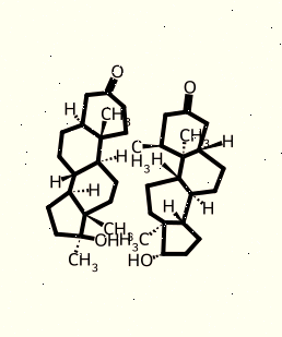 C[C@H]1CC(=O)C[C@@H]2CC[C@H]3[C@@H]4CC[C@H](O)[C@@]4(C)CC[C@@H]3[C@]21C.C[C@]12CCC(=O)C[C@@H]1CC[C@@H]1[C@@H]2CC[C@@]2(C)[C@H]1CC[C@]2(C)O